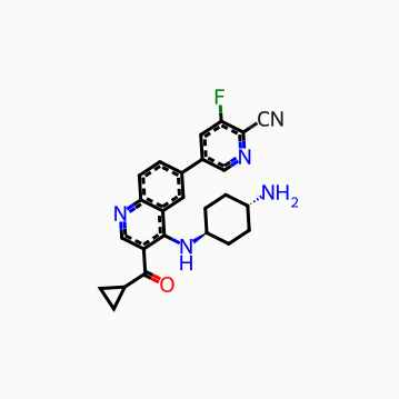 N#Cc1ncc(-c2ccc3ncc(C(=O)C4CC4)c(N[C@H]4CC[C@H](N)CC4)c3c2)cc1F